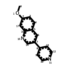 COc1ccc2cc(-c3ccncc3)cnc2c1